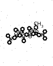 CC1C=CC=C(N2c3ccccc3B3c4cc5c(cc4Oc4cc6c(oc7cc(N(c8ccccc8)c8ccccc8)ccc76)c2c43)N(c2ccccc2)c2cc3c(oc4cc(N(c6ccccc6)c6ccccc6)ccc43)c3c2B5c2ccccc2N3c2ccccc2)C1